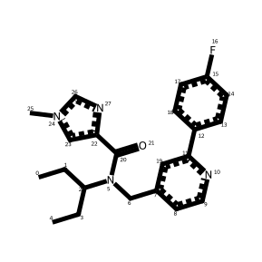 CCC(CC)N(Cc1ccnc(-c2ccc(F)cc2)c1)C(=O)c1cn(C)cn1